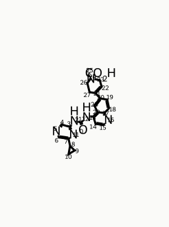 O=C(Nc1cncc(C2CC2)n1)Nc1ccnc2ccc(C3=CCN(C(=O)O)CC3)cc12